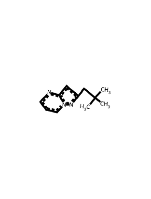 CC(C)(C)Cc1cc2ncccn2n1